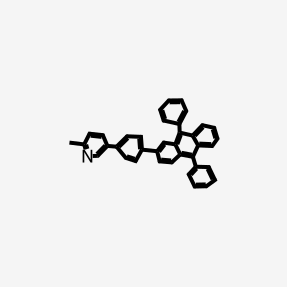 Cc1ccc(-c2ccc(-c3ccc4c(-c5ccccc5)c5ccccc5c(-c5ccccc5)c4c3)cc2)cn1